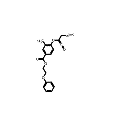 CCCCCCCCCCCC(=C=O)Oc1ccc(C(=O)OCCOc2ccccc2)cc1C